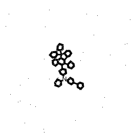 c1ccc(-c2ccc(N(c3ccccc3)c3ccc(-c4c(-c5ccccc5)c5c(c6ccccc46)C(c4ccccc4)(c4ccccc4)c4ccccc4-5)cc3)cc2)cc1